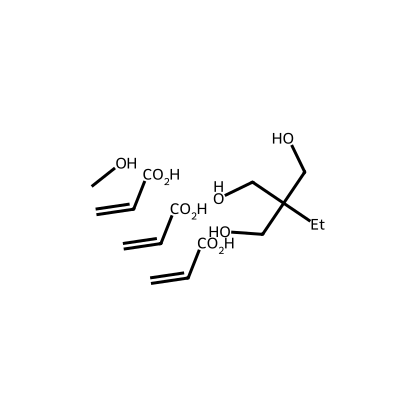 C=CC(=O)O.C=CC(=O)O.C=CC(=O)O.CCC(CO)(CO)CO.CO